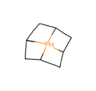 C1C2CC3CC4CC1[PH]234